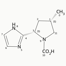 C[C@H]1C[C@@H](c2ncc[nH]2)N(C(=O)O)C1